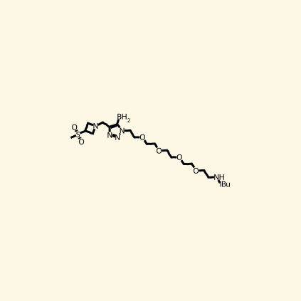 Bc1c(CN2CC(S(C)(=O)=O)C2)nnn1CCOCCOCCOCCOCCNC(C)CC